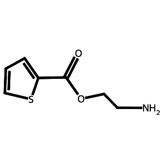 NCCOC(=O)c1cccs1